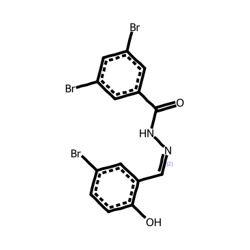 O=C(N/N=C\c1cc(Br)ccc1O)c1cc(Br)cc(Br)c1